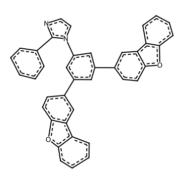 c1ccc(-c2nccn2-c2cc(-c3ccc4oc5ccccc5c4c3)cc(-c3ccc4oc5ccccc5c4c3)c2)cc1